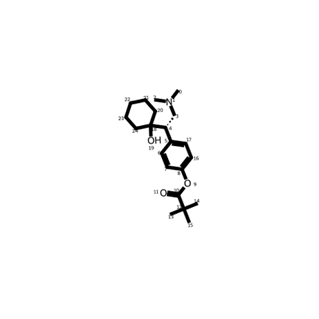 CN(C)C[C@H](c1ccc(OC(=O)C(C)(C)C)cc1)C1(O)CCCCC1